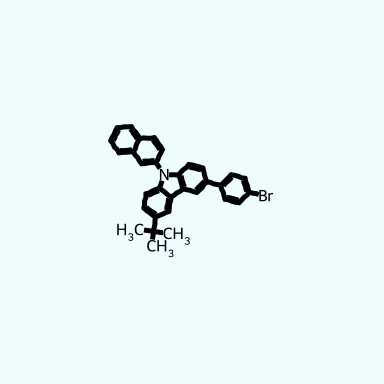 CC(C)(C)c1ccc2c(c1)c1cc(-c3ccc(Br)cc3)ccc1n2-c1ccc2ccccc2c1